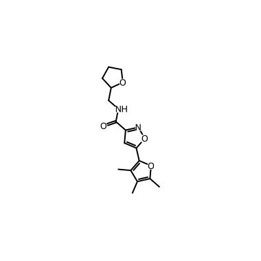 Cc1oc(-c2cc(C(=O)NCC3CCCO3)no2)c(C)c1C